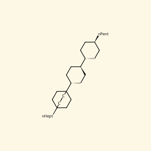 CCCCCCCC12CCC([C@H]3CC[C@H]([C@H]4CC[C@H](CCCCC)CC4)CC3)(CC1)CC2